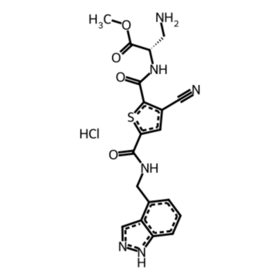 COC(=O)[C@H](CN)NC(=O)c1sc(C(=O)NCc2cccc3[nH]ncc23)cc1C#N.Cl